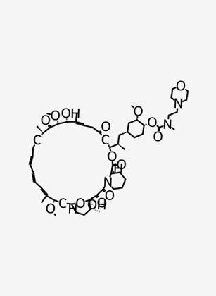 CO[C@H]1C[C@@H]2CC[C@@H](C)[C@@](O)(O2)C(=O)C(=O)N2CCCC[C@H]2C(=O)O[C@H]([C@H](C)C[C@@H]2CC[C@@H](OC(=O)N(C)CCN3CCOCC3)[C@H](OC)C2)CC(=O)C/C=C(\C)[C@@H](O)[C@@H](OC)C(=O)[C@H](C)CC/C=C/C=C/C=C/1C